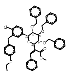 CCOc1ccc(Cc2cc([C@@H]3O[C@H](C(=Cc4ccccc4)C(=O)OC)[C@@H](OCc4ccccc4)[C@H](OCc4ccccc4)[C@H]3OCc3ccccc3)ccc2Cl)cc1